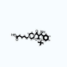 CC(C)(C)OC(=O)C(C(=O)N1CCN(CCCCC(=O)O)CC1)C(N)c1ccccc1